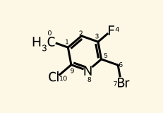 Cc1cc(F)c(CBr)nc1Cl